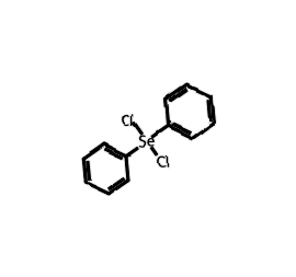 Cl[Se](Cl)(c1ccccc1)c1ccccc1